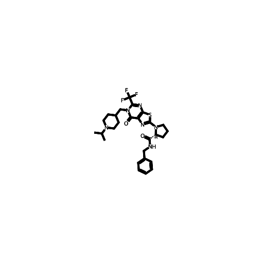 CC(C)N1CCC(Cn2c(C(F)(F)F)nc3sc(N4CCC[C@@H]4C(=O)NCc4ccccc4)nc3c2=O)CC1